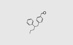 CCCC(Cc1ccc(C=O)cc1)c1ccccc1